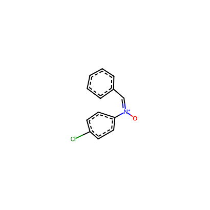 [O-]/[N+](=C/c1ccccc1)c1ccc(Cl)cc1